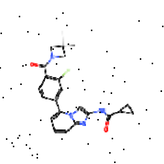 CC1(C)CN(C(=O)c2ccc(-c3cccc4nc(NC(=O)C5CC5)cn34)cc2F)C1